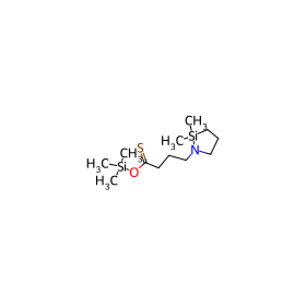 C[Si](C)(C)OC(=S)CCCN1CCC[Si]1(C)C